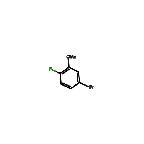 COc1cc([C](C)C)ccc1F